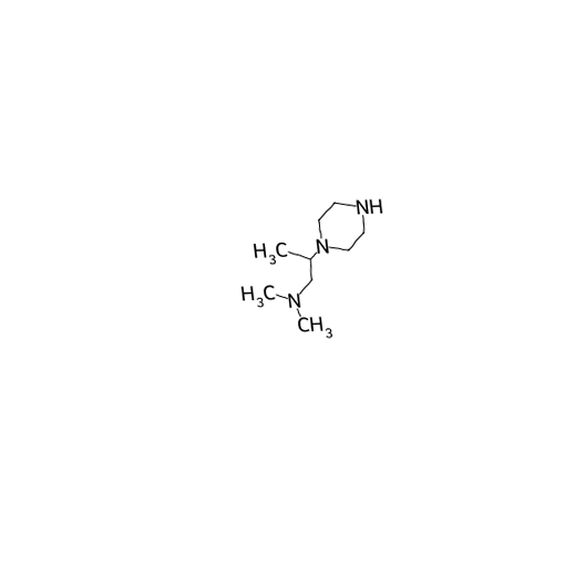 CC(CN(C)C)N1CCNCC1